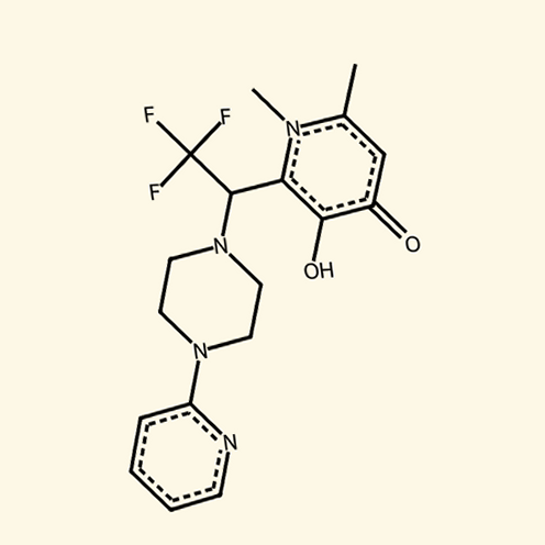 Cc1cc(=O)c(O)c(C(N2CCN(c3ccccn3)CC2)C(F)(F)F)n1C